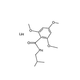 COc1cc(OC)c(C(=O)PCC(C)C)c(OC)c1.[LiH]